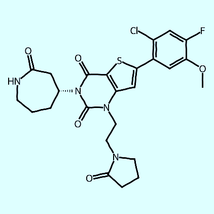 COc1cc(-c2cc3c(s2)c(=O)n([C@@H]2CCCNC(=O)C2)c(=O)n3CCN2CCCC2=O)c(Cl)cc1F